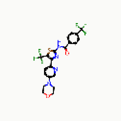 O=C(Nc1nc(-c2ccc(N3CCOCC3)cn2)c(C(F)(F)F)s1)c1ccc(C(F)(F)F)cc1